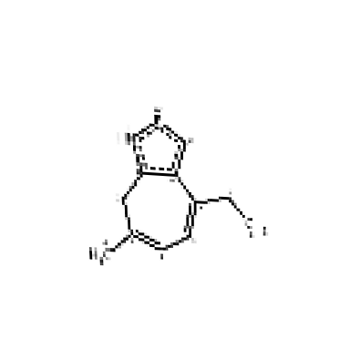 CCC1=CC=C(C)Cc2[nH]bcc21